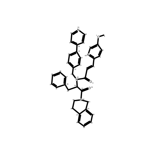 COc1ccc(C=CC(=O)N(Cc2ccc(-c3ccncc3)cc2)C(Cc2ccccc2)C(=O)N2CCc3ccccc3C2)nc1